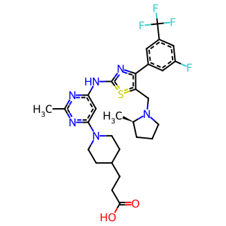 Cc1nc(Nc2nc(-c3cc(F)cc(C(F)(F)F)c3)c(CN3CCC[C@H]3C)s2)cc(N2CCC(CCC(=O)O)CC2)n1